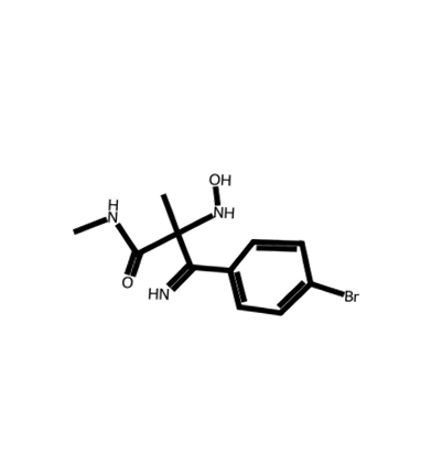 CNC(=O)C(C)(NO)C(=N)c1ccc(Br)cc1